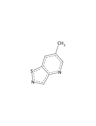 Cc1cnc2cnsc2c1